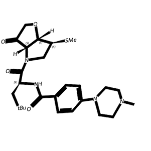 CS[C@H]1CN(C(=O)[C@H](CC(C)(C)C)NC(=O)c2ccc(N3CCN(C)CC3)cc2)[C@@H]2C(=O)CO[C@H]12